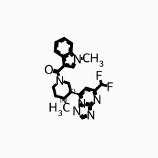 C[C@@H]1CCN(C(=O)c2cn(C)c3ccccc23)C[C@H]1c1cc(C(F)F)nc2ncnn12